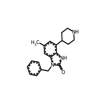 Cc1cc(C2CCNCC2)c2[nH]c(=O)n(Cc3ccccc3)c2c1